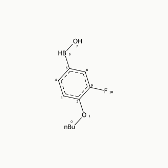 CCCCOc1ccc(BO)cc1F